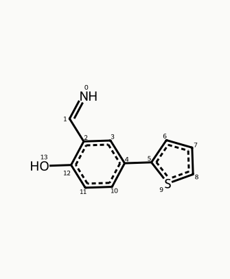 N=Cc1cc(-c2cccs2)ccc1O